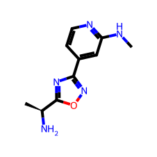 CNc1cc(-c2noc([C@H](C)N)n2)ccn1